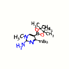 CCCCC1=NC(N)N(C)C=C1B1OC(C)(C)C(C)(C)O1